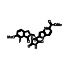 COC(=O)c1ccc2oc([C@]3(CN4Cc5ccc(OC)c(F)c5C4=O)NC(=O)NC3=O)cc2n1